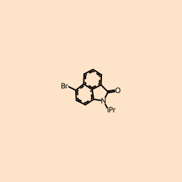 CC(C)N1C(=O)c2cccc3c(Br)ccc1c23